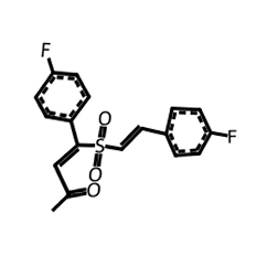 CC(=O)/C=C(/c1ccc(F)cc1)S(=O)(=O)C=Cc1ccc(F)cc1